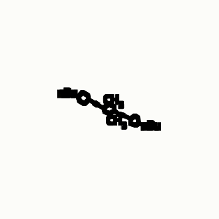 CCCCc1ccc(C#Cc2cc(C)c(C#Cc3ccc(CCCC)cc3)cc2C)cc1